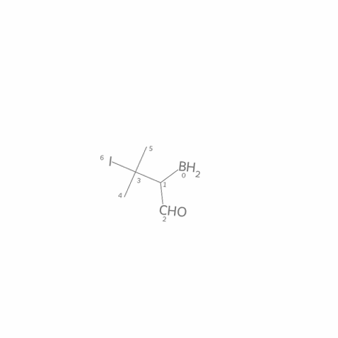 BC(C=O)C(C)(C)I